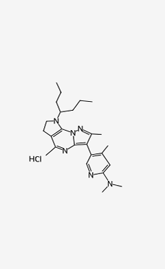 CCCC(CCC)N1CCc2c(C)nc3c(-c4cnc(N(C)C)cc4C)c(C)nn3c21.Cl